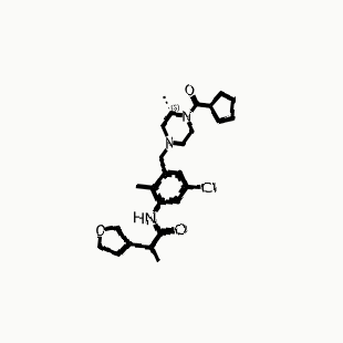 Cc1c(CN2CCN(C(=O)C3CCCC3)[C@@H](C)C2)cc(Cl)cc1NC(=O)C(C)C1CCOC1